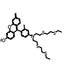 C=c1ccc2c(c1)Oc1cc(O)ccc1C=2c1ccc(N(CCSCCSCC)CCSCCSCC)cc1C